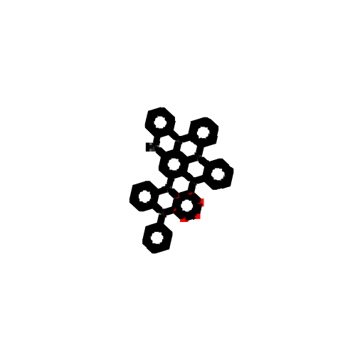 c1ccc(N(c2ccccc2)c2ccccc2N2c3ccccc3B3c4ccccc4N4c5ccccc5B5c6ccccc6Nc6cc2c3c4c65)cc1